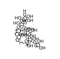 C[C@H](CC[C@@H](O[C@@H]1O[C@H](CO[C@H]2OC[C@@H](O)C[C@H]2O)[C@@H](O)[C@H](O)[C@H]1O[C@H]1OC(CO)[C@H](O)[C@@H](O)[C@@H]1O)C(C)(C)O)C1CC[C@@]2(C)C3CC=C4C(CC[C@H](O[C@@H]5O[C@H](CO)[C@@H](O[C@H]6O[C@H](CO)[C@@H](O)[C@H](O)[C@H]6O)[C@H](O)[C@H]5O)C4(C)C)[C@]3(C)[C@H](O)C[C@]12C